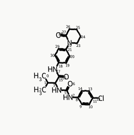 CC(C)C(NC(=O)Nc1ccc(Cl)cc1)C(=O)Nc1ccc(N2CCCCC2=O)cc1